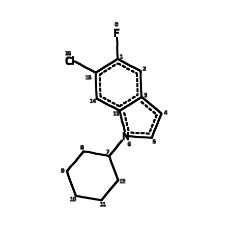 Fc1cc2ccn(C3CCCCC3)c2cc1Cl